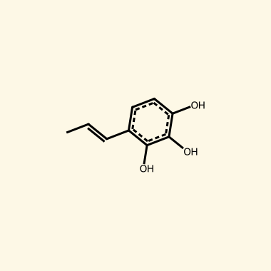 C/C=C/c1ccc(O)c(O)c1O